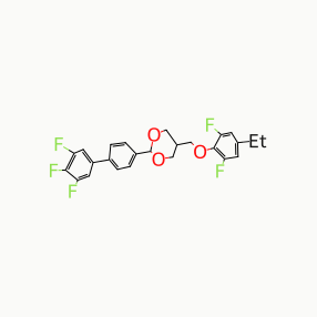 CCc1cc(F)c(OCC2COC(c3ccc(-c4cc(F)c(F)c(F)c4)cc3)OC2)c(F)c1